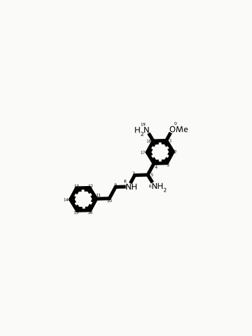 COc1ccc(C(N)CNCCc2ccccc2)cc1N